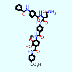 CC(C)Oc1c(NC(=O)c2ccc(NC(=O)C(CC(N)=O)NC(=O)c3ccc(NC(=O)c4ccccc4)cc3)cc2)ccc(C(=O)Nc2ccc(C(=O)O)cc2)c1O